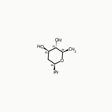 CC(C)[C@H]1C[C@@H](O)[C@H](O)[C@@H](C)O1